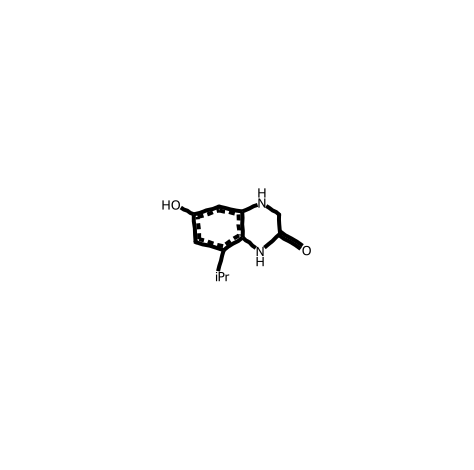 CC(C)c1cc(O)cc2c1NC(=O)CN2